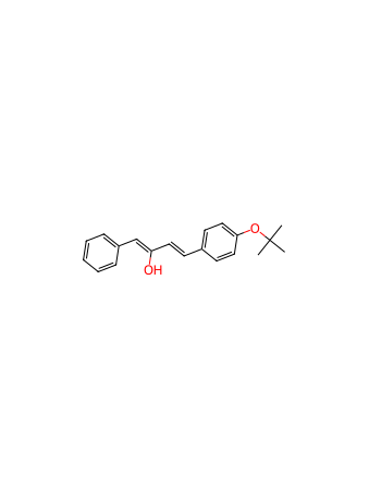 CC(C)(C)Oc1ccc(C=CC(O)=Cc2ccccc2)cc1